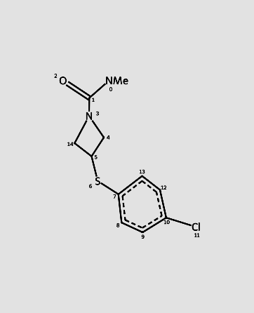 CNC(=O)N1CC(Sc2ccc(Cl)cc2)C1